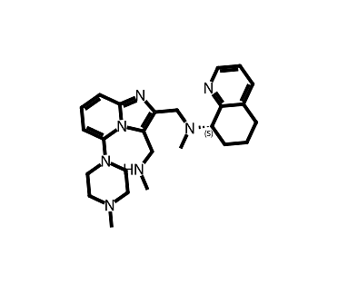 CNCc1c(CN(C)[C@H]2CCCc3cccnc32)nc2cccc(N3CCN(C)CC3)n12